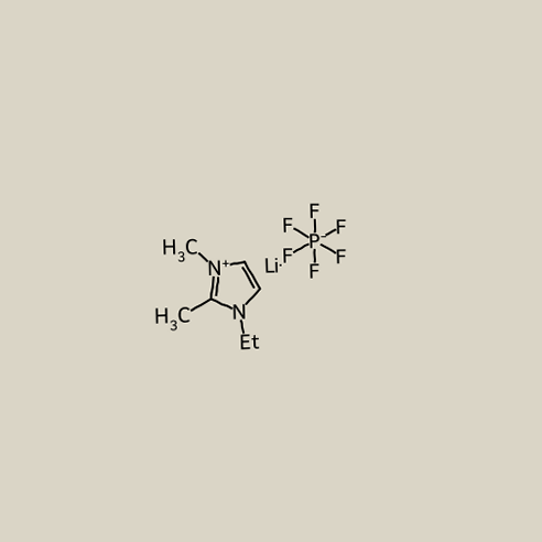 CCn1cc[n+](C)c1C.F[P-](F)(F)(F)(F)F.[Li]